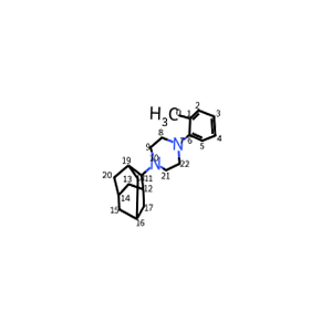 Cc1ccccc1N1CCN(C2C3CC4CC(C3)CC2C4)CC1